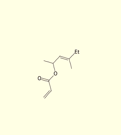 C=CC(=O)OC(C)/C=C(\C)CC